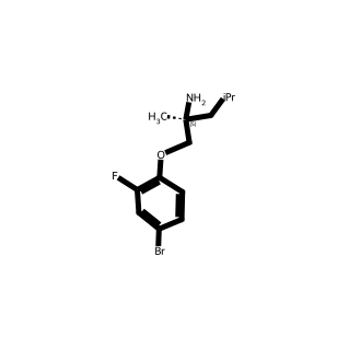 CC(C)C[C@](C)(N)COc1ccc(Br)cc1F